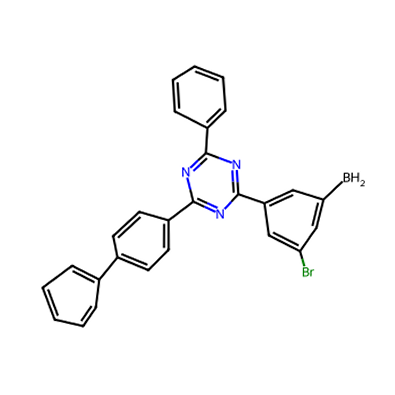 Bc1cc(Br)cc(-c2nc(-c3ccccc3)nc(-c3ccc(-c4ccccc4)cc3)n2)c1